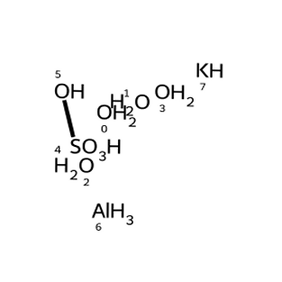 O.O.O.O.O=S(=O)(O)O.[AlH3].[KH]